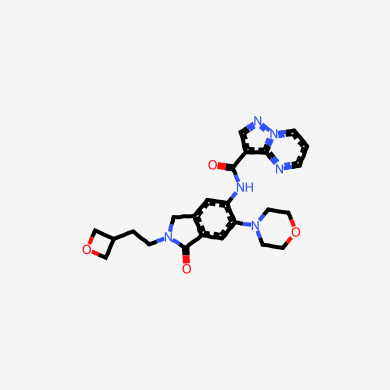 O=C(Nc1cc2c(cc1N1CCOCC1)C(=O)N(CCC1COC1)C2)c1cnn2cccnc12